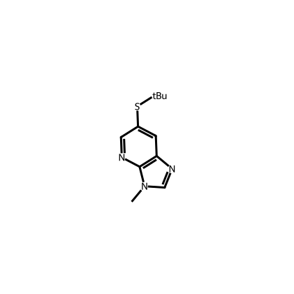 Cn1cnc2cc(SC(C)(C)C)cnc21